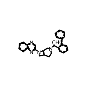 O=CC(c1ccccc1-c1ccccc1)N1CCC2CN(c3cnc4ccccc4n3)C2C1